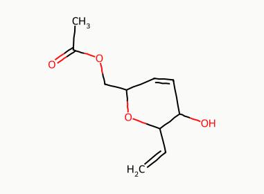 C=CC1OC(COC(C)=O)C=CC1O